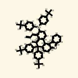 C=C/C=c1/c(N(c2ccc(C(C)(C)C)cc2)c2ccc(C(C)(C)C)cc2)ccc2c1=C(C)C(c1ccc(C(C)(C)C)cc1)(c1ccc(C(C)(C)C)cc1)c1ccc3oc4ccccc4c3c1-2